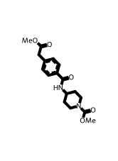 COC(=O)Cc1ccc(C(=O)NC2CCN(C(=O)OC)CC2)cc1